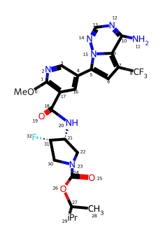 COc1ncc(-c2cc(C(F)(F)F)c3c(N)ncnn23)cc1C(=O)N[C@@H]1CN(C(=O)OC(C)C(C)C)C[C@@H]1F